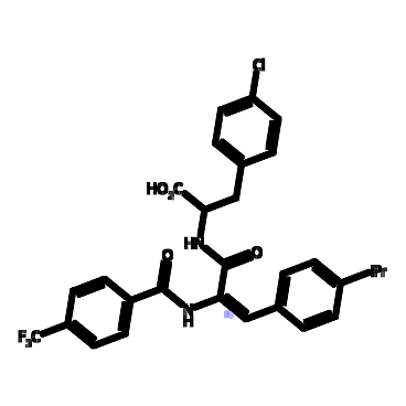 CC(C)c1ccc(/C=C(/NC(=O)c2ccc(C(F)(F)F)cc2)C(=O)NC(Cc2ccc(Cl)cc2)C(=O)O)cc1